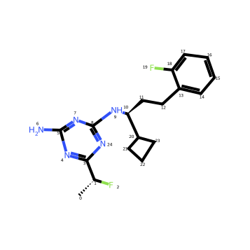 C[C@@H](F)c1nc(N)nc(N[C@@H](CCc2ccccc2F)C2CCC2)n1